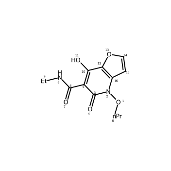 CCCOn1c(=O)c(C(=O)NCC)c(O)c2occc21